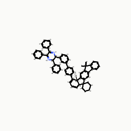 CC1(C)c2ccccc2-c2cc3c(cc21)[C@H]1C(c2ccc(-c4cccc(C5N=C(c6ccccc6)C(c6ccccc6)=NC5c5ccccc5)c4)cc2)=CC=CC1C31CCCCC1